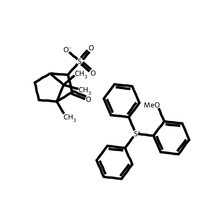 CC12CCC(C(S(=O)(=O)[O-])C1=O)C2(C)C.COc1ccccc1[S+](c1ccccc1)c1ccccc1